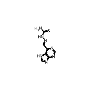 NC(=S)NN=Cc1ncnc2nc[nH]c12